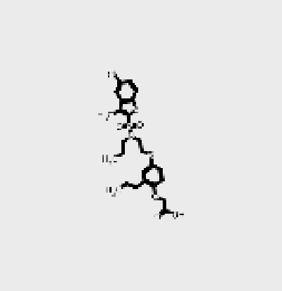 CCCc1cc(SCCN(CCC)S(=O)(=O)c2sc3ccc(Cl)cc3c2C)ccc1OCC(=O)O